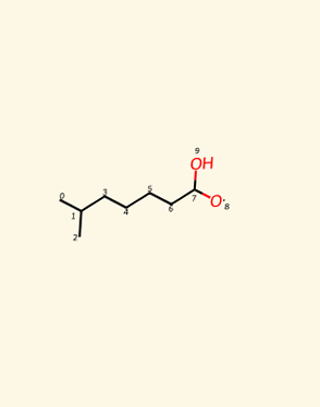 CC(C)CCCCC([O])O